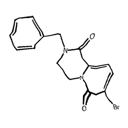 O=C1c2ccc(Br)c(=O)n2CCN1Cc1ccccc1